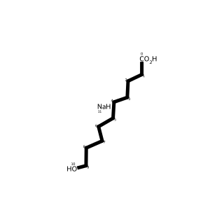 O=C(O)CCCCCCCCCO.[NaH]